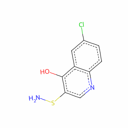 NSc1cnc2ccc(Cl)cc2c1O